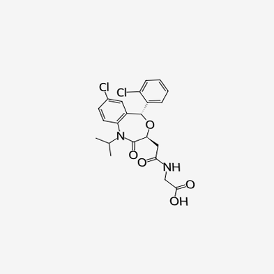 CC(C)N1C(=O)[C@H](CC(=O)NCC(=O)O)O[C@@H](c2ccccc2Cl)c2cc(Cl)ccc21